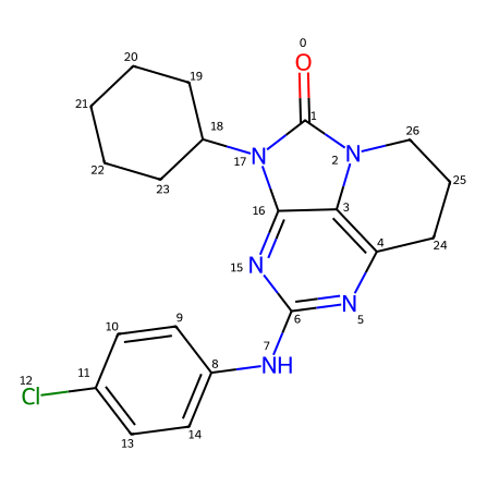 O=c1n2c3c(nc(Nc4ccc(Cl)cc4)nc3n1C1CCCCC1)CCC2